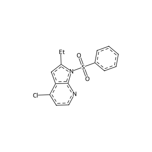 CCc1cc2c(Cl)ccnc2n1S(=O)(=O)c1ccccc1